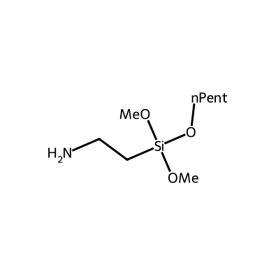 CCCCCO[Si](CCN)(OC)OC